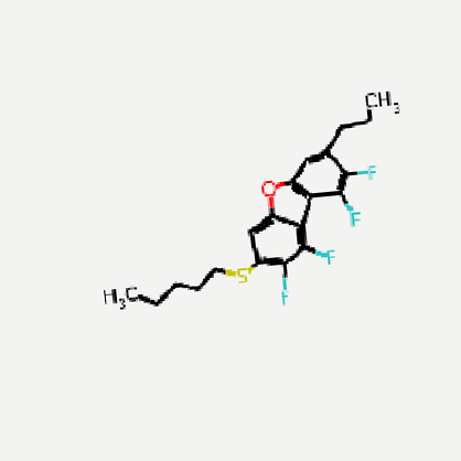 CCCCCSc1cc2oc3cc(CCC)c(F)c(F)c3c2c(F)c1F